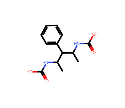 CC(NC(=O)O)C(c1ccccc1)C(C)NC(=O)O